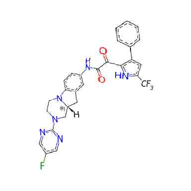 O=C(Nc1ccc2c(c1)C[C@@H]1CN(c3ncc(F)cn3)CCN21)C(=O)c1[nH]c(C(F)(F)F)cc1-c1ccccc1